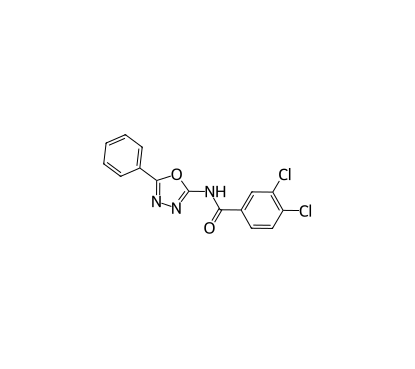 O=C(Nc1nnc(-c2ccccc2)o1)c1ccc(Cl)c(Cl)c1